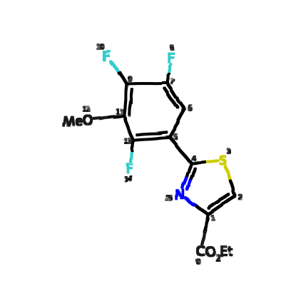 CCOC(=O)c1csc(-c2cc(F)c(F)c(OC)c2F)n1